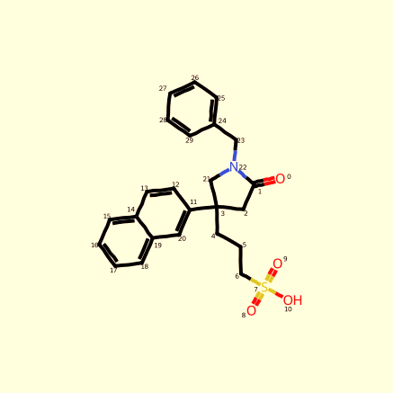 O=C1CC(CCCS(=O)(=O)O)(c2ccc3ccccc3c2)CN1Cc1ccccc1